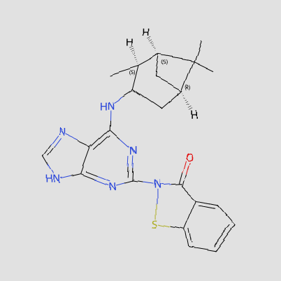 C[C@@H]1C(Nc2nc(-n3sc4ccccc4c3=O)nc3[nH]cnc23)C[C@H]2C[C@@H]1C2(C)C